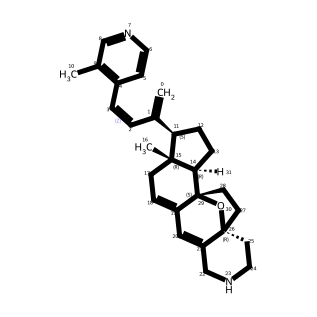 C=C(/C=C\c1ccncc1C)[C@H]1CC[C@@H]2[C@]1(C)CC=C1C=C3CNCC[C@]34CC[C@@]12O4